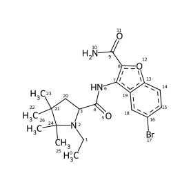 CCN1C(C(=O)Nc2c(C(N)=O)oc3ccc(Br)cc23)CC(C)(C)C1(C)C